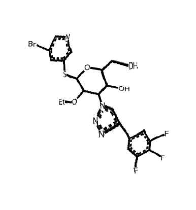 CCOC1C(Sc2cncc(Br)c2)OC(CO)C(O)C1n1cc(-c2cc(F)c(F)c(F)c2)nn1